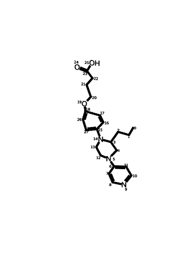 CCCC1CN(c2ccncc2)CCN1c1ccc(OCCCC(=O)O)cc1